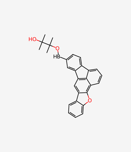 CC(C)(O)C(C)(C)OBc1ccc2c(c1)-c1cc3c4ccccc4oc3c3cccc-2c13